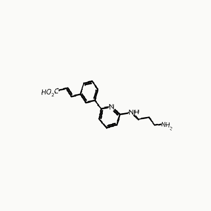 NCCCNc1cccc(-c2cccc(C=CC(=O)O)c2)n1